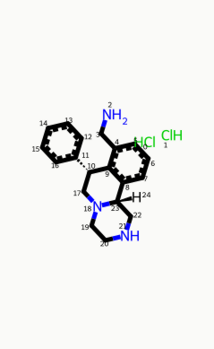 Cl.Cl.NCc1cccc2c1[C@@H](c1ccccc1)CN1CCNC[C@@H]21